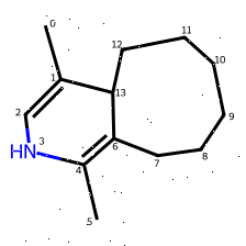 CC1=CNC(C)=C2CCCCCCC12